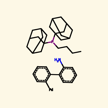 CCCCP(C12CC3CC(CC(C3)C1)C2)C12CC3CC(CC(C3)C1)C2.Nc1ccccc1-c1cccc[c]1[Pd]